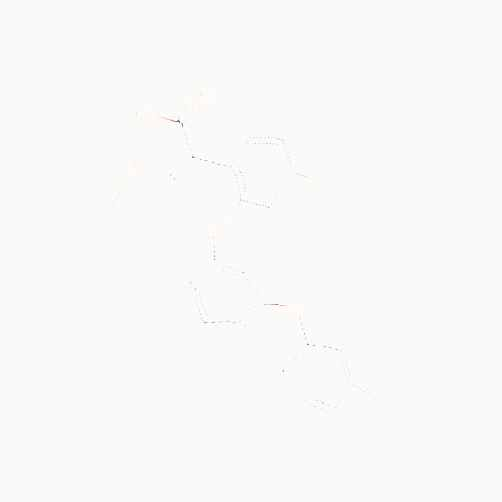 CON=C(C(=O)O)c1ccc(F)cc1Oc1ncnc(Oc2cccc(Cl)c2C)c1F